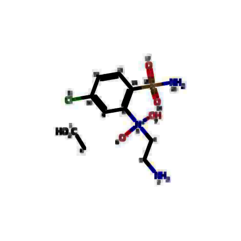 CC(=O)O.NCC[N+]([O-])(O)c1cc(Cl)ccc1S(N)(=O)=O